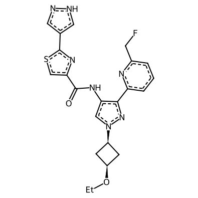 CCO[C@H]1C[C@@H](n2cc(NC(=O)c3csc(-c4cn[nH]c4)n3)c(-c3cccc(CF)n3)n2)C1